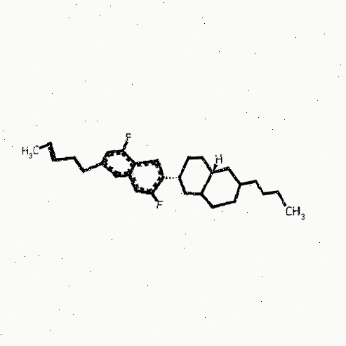 C/C=C/CCc1cc(F)c2cc([C@@H]3CC[C@@H]4CC(CCCC)CCC4C3)c(F)cc2c1